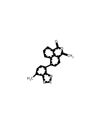 C=c1oc(=O)c2cccc3c(-c4ccc(C)c5nsnc45)ccc1c32